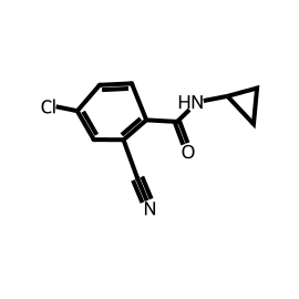 N#Cc1cc(Cl)ccc1C(=O)NC1CC1